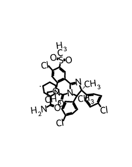 CCOc1cc(Cl)c(S(C)(=O)=O)cc1C1=N[C@@](C)(c2ccc(Cl)cc2)[C@@](C)(c2ccc(Cl)cc2)N1C(=O)N1CC[CH]CC1C(N)=O